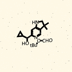 CC(C)(C)OC=O.CC1(C)CNc2cc(C(O)C3CC3)ncc21